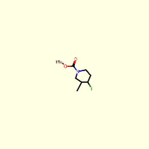 CC1CN(C(=O)OC(C)(C)C)CCC1F